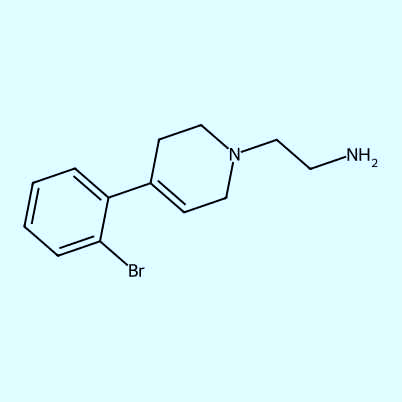 NCCN1CC=C(c2ccccc2Br)CC1